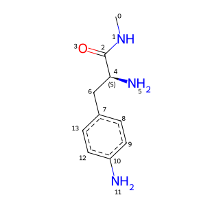 CNC(=O)[C@@H](N)Cc1ccc(N)cc1